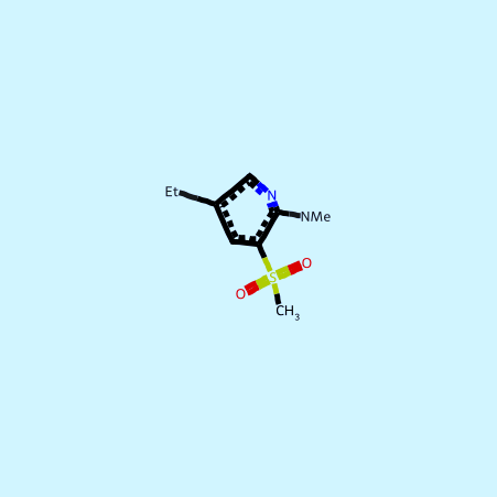 CCc1cnc(NC)c(S(C)(=O)=O)c1